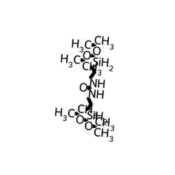 CC(C)OC(OC(C)C)[SiH2]CCCNC(=O)NCCC[SiH2]C(OC(C)C)OC(C)C